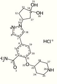 Cl.NC(=O)c1cc(-c2cnn(C3CCS(O)(O)C3)c2)ccc1OC1CCNCC1